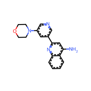 Nc1cc(-c2cncc(N3CCOCC3)c2)nc2ccccc12